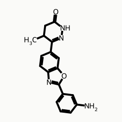 CC1CC(=O)NN=C1c1ccc2nc(-c3cccc(N)c3)oc2c1